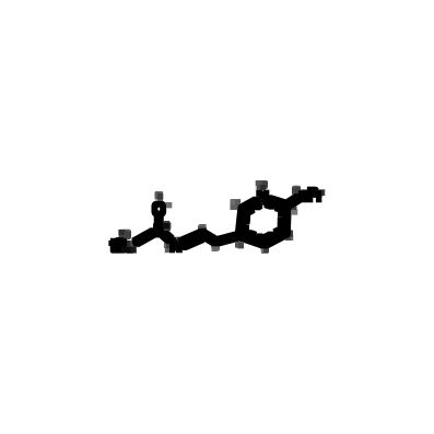 CCCc1ccc(C/C=N/[S+]([O-])C(C)(C)C)cn1